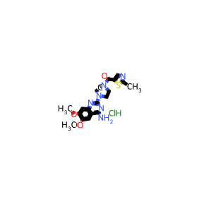 COc1cc2nc(N3CCN(C(=O)c4cnc(C)s4)CC3)nc(N)c2cc1OC.Cl